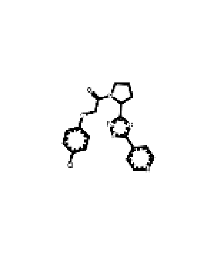 O=C(COc1ccc(Cl)cc1)N1CCCC1c1nnc(-c2ccncc2)o1